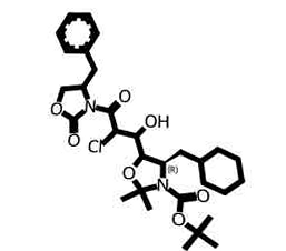 CC(C)(C)OC(=O)N1[C@H](CC2CCCCC2)C(C(O)C(Cl)C(=O)N2C(=O)OCC2Cc2ccccc2)OC1(C)C